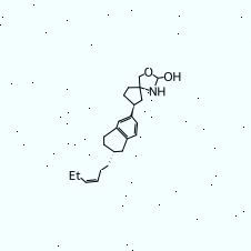 CC/C=C\CC[C@@H]1CCc2cc([C@H]3CCC4(COC(O)N4)C3)ccc2C1